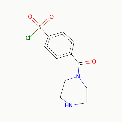 O=C(c1ccc(S(=O)(=O)Cl)cc1)N1CCNCC1